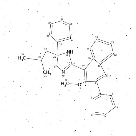 COc1c(-c2ccccc2)nc2ccccc2c1C1=NCC(CC(C)C)(c2ccccc2)N1